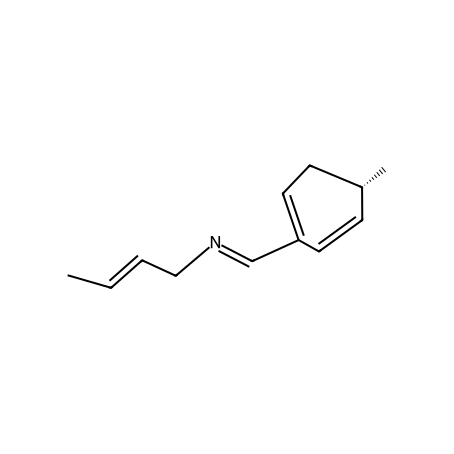 C/C=C/C/N=C/C1=CC[C@H](C)C=C1